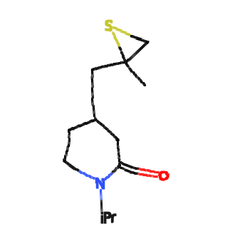 CC(C)N1CCC(CC2(C)CS2)CC1=O